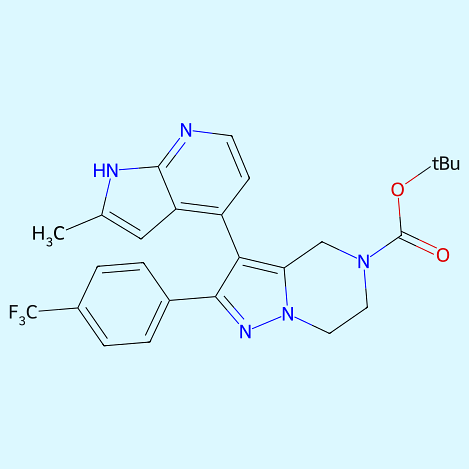 Cc1cc2c(-c3c(-c4ccc(C(F)(F)F)cc4)nn4c3CN(C(=O)OC(C)(C)C)CC4)ccnc2[nH]1